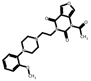 COc1ccccc1N1CCN(CCn2c(=O)c3cocc3n(C(C)=O)c2=O)CC1